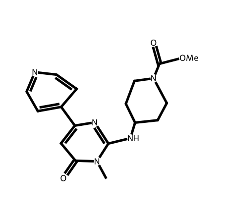 COC(=O)N1CCC(Nc2nc(-c3ccncc3)cc(=O)n2C)CC1